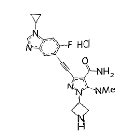 CNc1c(C(N)=O)c(C#Cc2cc3ncn(C4CC4)c3cc2F)nn1C1CNC1.Cl